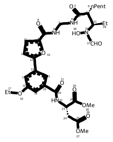 CCCCC[C@@H](C(=O)NCNC(=O)c1ccc(-c2cc(OCC)cc(C(=O)N[C@@H](CC(=O)OC)C(=O)OC)c2)o1)[C@@H](CC)N(O)C=O